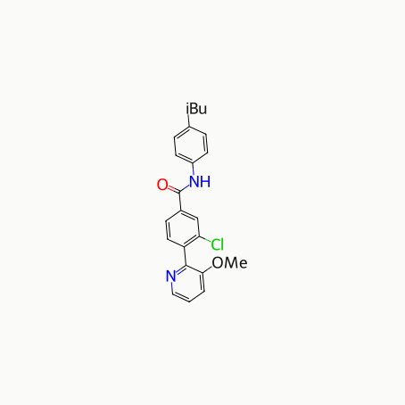 CCC(C)c1ccc(NC(=O)c2ccc(-c3ncccc3OC)c(Cl)c2)cc1